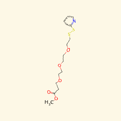 COC(=O)CCOCCOCCOCCSSc1ccccn1